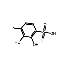 Cc1ccc(S(=O)(=O)O)c(O)c1O